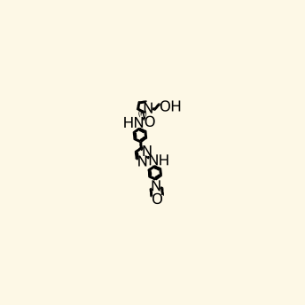 O=C(Nc1ccc(-c2ccnc(Nc3ccc(N4CCOCC4)cc3)n2)cc1)[C@H]1CCCN1CCO